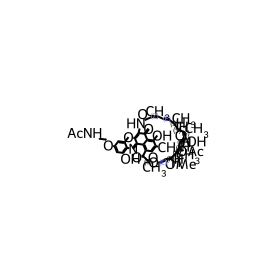 CO[C@H]1/C=C/O[C@@]2(C)Oc3c(C)c(O)c4c(=O)c(c5oc6cc(OCCNC(C)=O)cc(O)c6nc-5c4c3C2=O)NC(=O)/C(C)=C\C=C\[C@H](C)[C@@H]2O[C@H]([C@H](O)[C@@H]2C)[C@H](OC(C)=O)[C@@H]1C